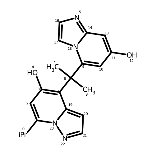 CC(C)c1cc(O)c(C(C)(C)c2cc(O)cc3nccn23)c2ccnn12